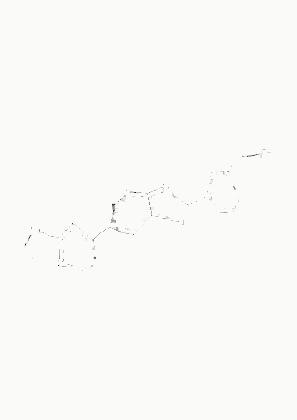 CC(C)Oc1cccc(-c2nc3ncc(-c4ccc5c(c4)OCO5)cc3[nH]2)c1